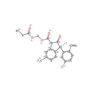 COc1ccc(Cl)cc1C1(F)C(=O)N(C(=O)OCOC(=O)CC(C)C)c2cc(C(F)(F)F)ccc21